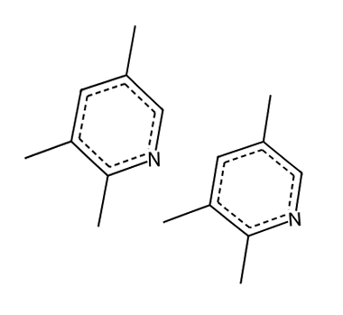 Cc1cnc(C)c(C)c1.Cc1cnc(C)c(C)c1